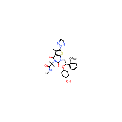 COc1ccccc1[C@H](Cn1c(=O)n(C(C)(C)C(=O)NC(C)C)c(=O)c2c(C)c(-n3nccn3)sc21)O[C@H]1CC[C@@H](O)CC1